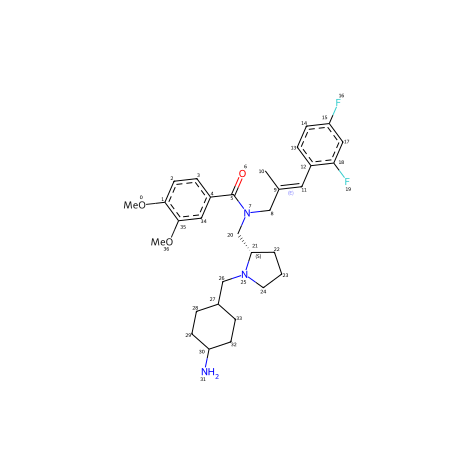 COc1ccc(C(=O)N(C/C(C)=C/c2ccc(F)cc2F)C[C@@H]2CCCN2CC2CCC(N)CC2)cc1OC